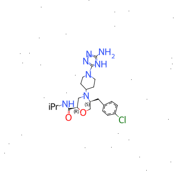 CC(C)NC(=O)[C@H]1CN(C2CCN(c3nnc(N)[nH]3)CC2)[C@@H](Cc2ccc(Cl)cc2)CO1